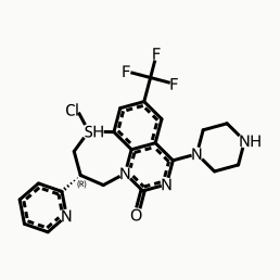 O=c1nc(N2CCNCC2)c2cc(C(F)(F)F)cc3c2n1C[C@H](c1ccccn1)C[SH]3Cl